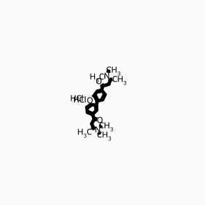 CC(CC(=O)c1ccc2c(c1)oc1ccc(C(=O)CC(C)N(C)C)cc12)N(C)C.Cl.Cl